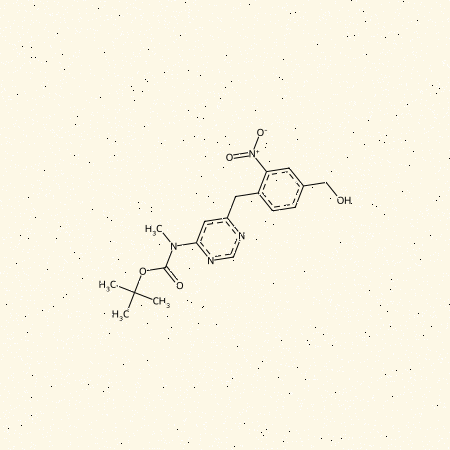 CN(C(=O)OC(C)(C)C)c1cc(Cc2ccc(CO)cc2[N+](=O)[O-])ncn1